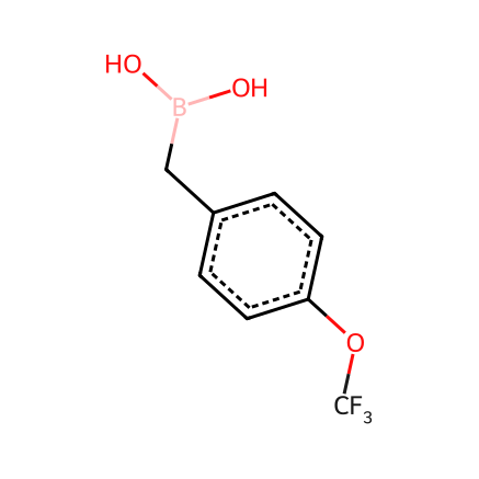 OB(O)Cc1ccc(OC(F)(F)F)cc1